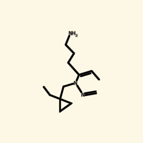 C=NN(CC1(CC)CC1)/C(=C\C)CCCN